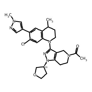 CC(=O)N1CCc2c(c(N3CCC(C)c4cc(-c5cnn(C)c5)c(Cl)cc43)nn2[C@H]2CCOC2)C1